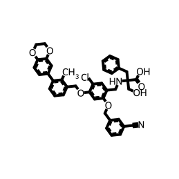 Cc1c(COc2cc(OCc3cccc(C#N)c3)c(CNC(CO)(Cc3ccccc3)C(=O)O)cc2Cl)cccc1-c1ccc2c(c1)OCCO2